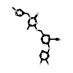 Cc1cn(Cc2cnn(C)c2)c(=O)nc1OCc1ccc(Oc2ccc(F)c(F)c2)c(C#N)c1